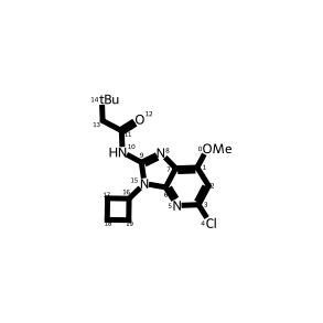 COc1cc(Cl)nc2c1nc(NC(=O)CC(C)(C)C)n2C1CCC1